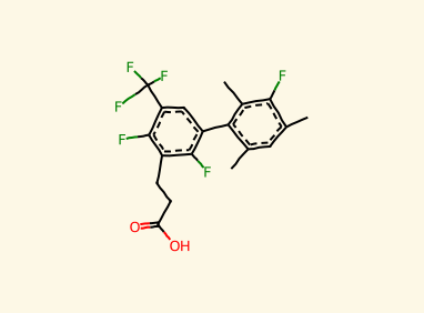 Cc1cc(C)c(-c2cc(C(F)(F)F)c(F)c(CCC(=O)O)c2F)c(C)c1F